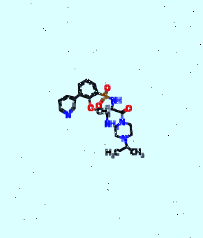 COc1c(-c2cccnc2)cccc1S(=O)(=O)N[C@@H](CN)C(=O)N1CCN(C(C)C)CC1